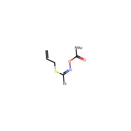 C=CCSC(CC)=NOC(=O)NC